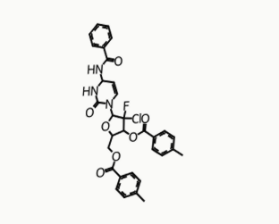 Cc1ccc(C(=O)OCC2OC(N3C=CC(NC(=O)c4ccccc4)NC3=O)C(F)(Cl)C2OC(=O)c2ccc(C)cc2)cc1